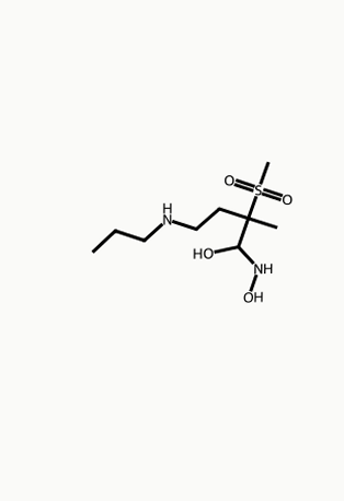 CCCNCCC(C)(C(O)NO)S(C)(=O)=O